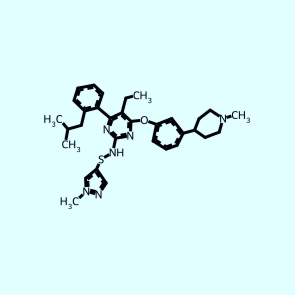 CCc1c(Oc2cccc(C3CCN(C)CC3)c2)nc(NSc2cnn(C)c2)nc1-c1ccccc1CC(C)C